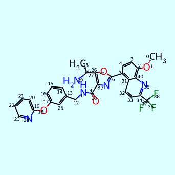 COc1ccc(-c2nc(C(=O)NCc3cccc(Oc4ccccn4)c3)c([C@H](C)N)o2)c2ccc(C(F)(F)F)nc12